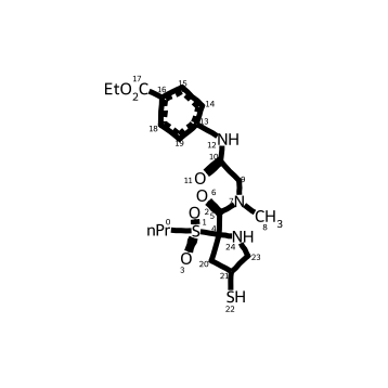 CCCS(=O)(=O)C1(C(=O)N(C)CC(=O)Nc2ccc(C(=O)OCC)cc2)CC(S)CN1